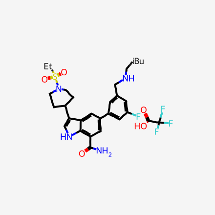 CCC(C)CNCc1cc(F)cc(-c2cc(C(N)=O)c3[nH]cc(C4CCN(S(=O)(=O)CC)CC4)c3c2)c1.O=C(O)C(F)(F)F